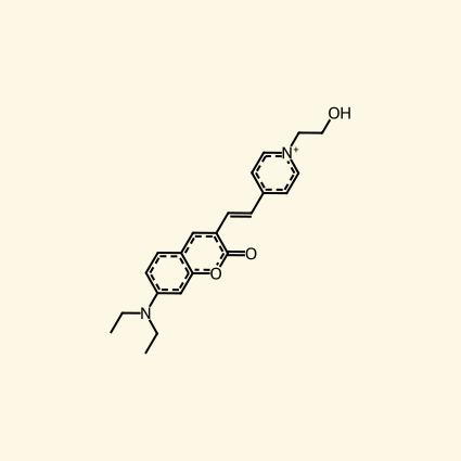 CCN(CC)c1ccc2cc(/C=C/c3cc[n+](CCO)cc3)c(=O)oc2c1